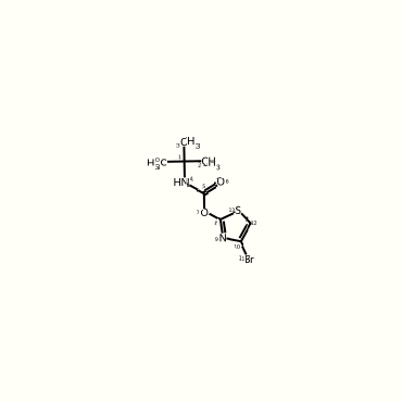 CC(C)(C)NC(=O)Oc1nc(Br)cs1